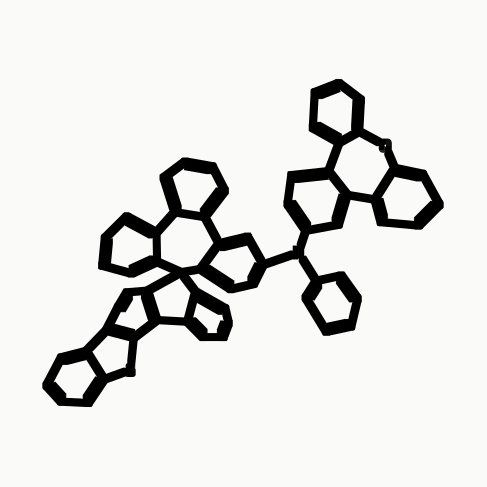 c1ccc(N(c2ccc3c(c2)-c2ccccc2Oc2ccccc2-3)c2ccc3c(c2)-c2ccccc2-c2ccccc2C32c3ccccc3-c3c2ccc2c3sc3ccccc32)cc1